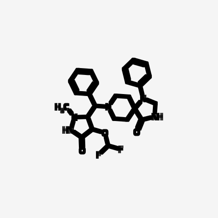 CN1NC(=O)C(OC(F)F)C1C(c1ccccc1)N1CCC2(CC1)C(=O)NCN2c1ccccc1